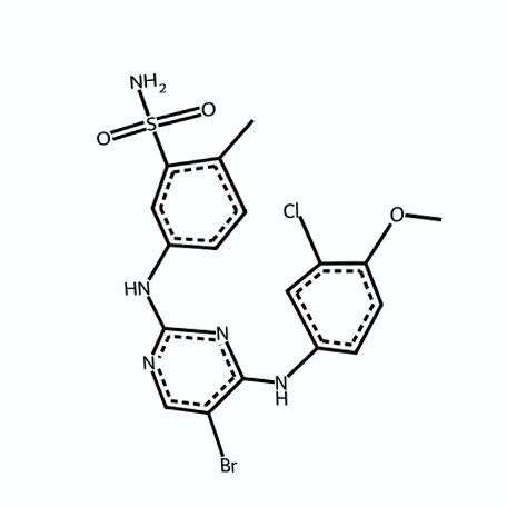 COc1ccc(Nc2nc(Nc3ccc(C)c(S(N)(=O)=O)c3)ncc2Br)cc1Cl